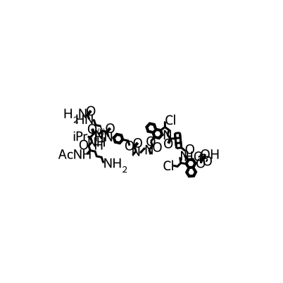 CC(=O)NC(CCCCN)C(=O)NC(C(=O)N[C@@H](CCCNC(N)=O)C(=O)Nc1ccc(COC(=O)N(C)CCN(C)C(=O)Oc2cc3c(c4ccccc24)C(CCl)CN3C(=O)C23C4C5C2C2C3C4C52C(=O)N2CC(CCl)c3c2cc(OP(=O)(O)O)c2ccccc32)cc1)C(C)C